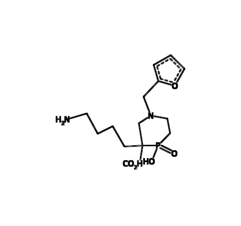 NCCCCC1(C(=O)O)CN(Cc2ccco2)CCP1(=O)O